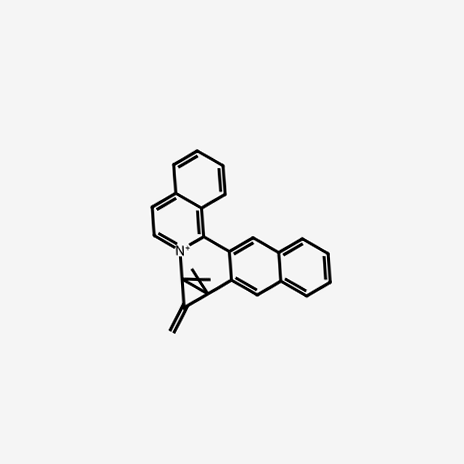 C=C1C2(C)c3cc4ccccc4cc3-c3c4ccccc4cc[n+]3C12C